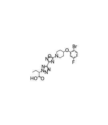 CCC(C(=O)O)n1nnc(-c2noc(N3CCC(Oc4cc(F)ccc4Br)CC3)n2)n1